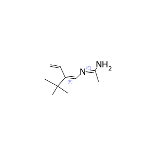 C=C/C(=C\N=C(/C)N)C(C)(C)C